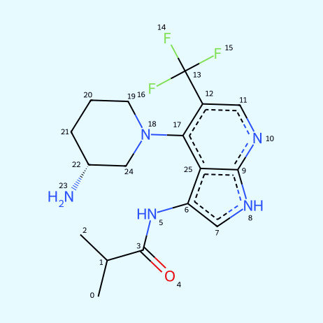 CC(C)C(=O)Nc1c[nH]c2ncc(C(F)(F)F)c(N3CCC[C@@H](N)C3)c12